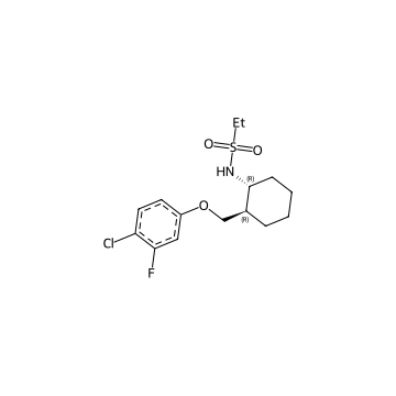 CCS(=O)(=O)N[C@@H]1CCCC[C@H]1COc1ccc(Cl)c(F)c1